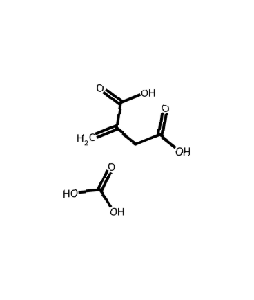 C=C(CC(=O)O)C(=O)O.O=C(O)O